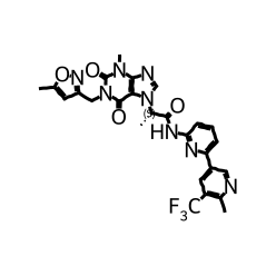 Cc1cc(Cn2c(=O)c3c(ncn3[C@@H](C)C(=O)Nc3cccc(-c4cnc(C)c(C(F)(F)F)c4)n3)n(C)c2=O)no1